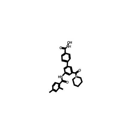 Cc1ccc(C(=O)Nc2cc(C(=O)N3CCCCC3)cc(-c3ccc(C(=O)NO)cc3)c2)c(C)c1